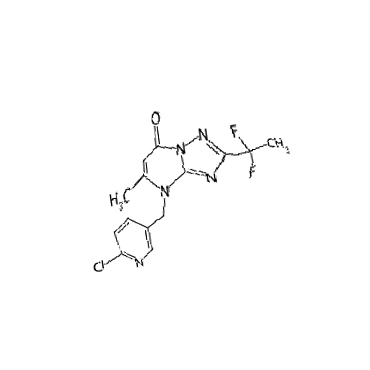 Cc1cc(=O)n2nc(C(C)(F)F)nc2n1Cc1ccc(Cl)nc1